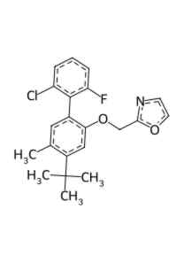 Cc1cc(-c2c(F)cccc2Cl)c(OCc2ncco2)cc1C(C)(C)C